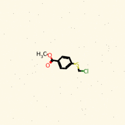 COC(=O)c1ccc(SCCl)cc1